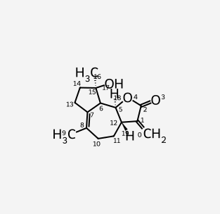 C=C1C(=O)O[C@@H]2C3C(=C(C)CC[C@@H]12)CC[C@@]3(C)O